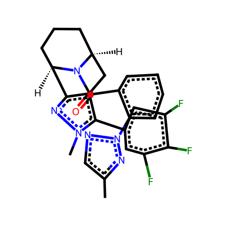 Cc1cnn(-c2ccccc2C(=O)N2[C@H]3CCC[C@@H]2c2nn(C)c(-c4cc(F)c(F)c(F)c4)c2C3)n1